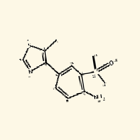 Cc1scnc1-c1ccc(N)c(P(C)(C)=O)c1